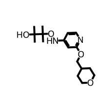 CC(C)(O)C(C)(C)ONc1ccnc(OCC2CCOCC2)c1